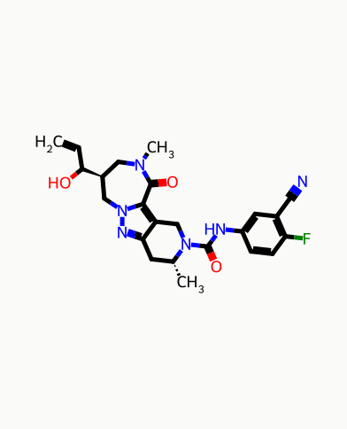 C=CC(O)[C@H]1CN(C)C(=O)c2c3c(nn2C1)C[C@@H](C)N(C(=O)Nc1ccc(F)c(C#N)c1)C3